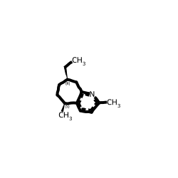 CC[C@@H]1CC[C@H](C)c2ccc(C)nc2C1